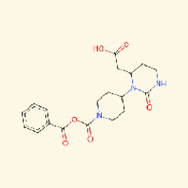 O=C(O)CC1CCNC(=O)N1C1CCN(C(=O)OC(=O)c2ccccc2)CC1